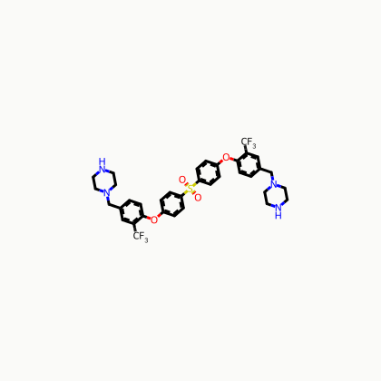 O=S(=O)(c1ccc(Oc2ccc(CN3CCNCC3)cc2C(F)(F)F)cc1)c1ccc(Oc2ccc(CN3CCNCC3)cc2C(F)(F)F)cc1